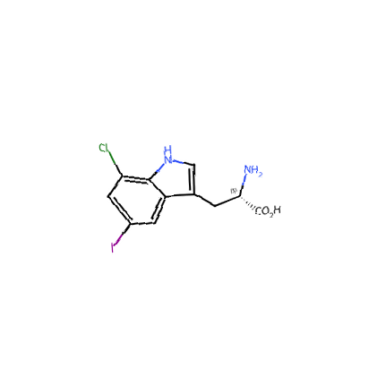 N[C@@H](Cc1c[nH]c2c(Cl)cc(I)cc12)C(=O)O